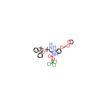 CC(C)(CO[Si](c1ccccc1)(c1ccccc1)C(C)(C)C)C(=N)/C=C(/NC(=O)OCC(Cl)(Cl)Cl)Nc1cccc(OCCOC2CCCCO2)c1